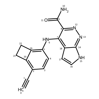 C#Cc1ccc(Nc2c(C(N)=O)nnc3[nH]ccc23)c2c1CC2